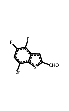 O=Cc1cc2c(F)c(F)cc(Br)c2s1